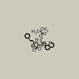 CC(C)C(=O)OCS/C(=N/c1cccc2cccnc12)NC(NC(=O)/C=C/c1ccccc1)C(Cl)(Cl)Cl